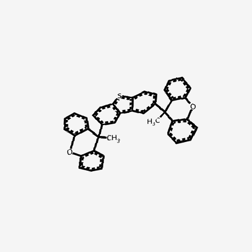 CC1(c2ccc3sc4ccc(C5(C)c6ccccc6Oc6ccccc65)cc4c3c2)c2ccccc2Oc2ccccc21